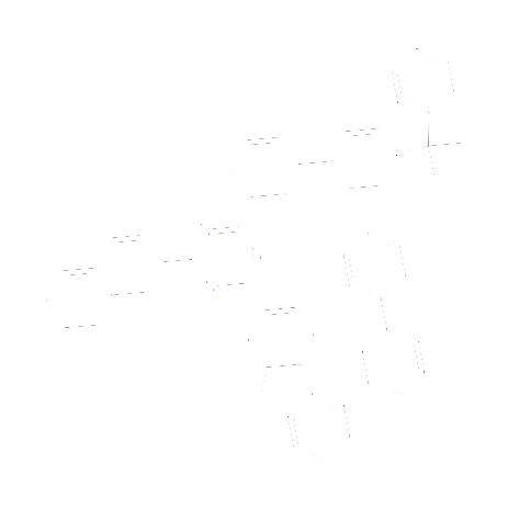 CC1(C)c2ccccc2-c2cc(-c3cccc(-c4nc(-c5ccc6ccccc6c5)nc(-c5ccc6c(c5)oc5cccc(-c7cccc(-c8ccccc8)c7)c56)n4)c3)ccc21